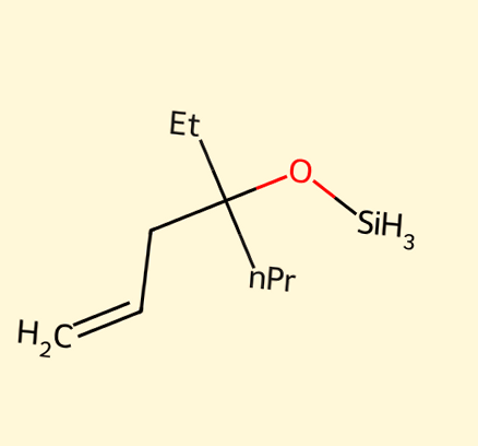 C=CCC(CC)(CCC)O[SiH3]